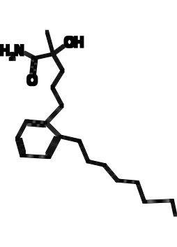 CCCCCCCCc1ccccc1CCCC(C)(O)C(N)=O